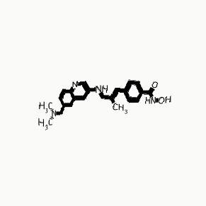 CC(=Cc1ccc(C(=O)NO)cc1)CNc1cnc2ccc(CN(C)C)cc2c1